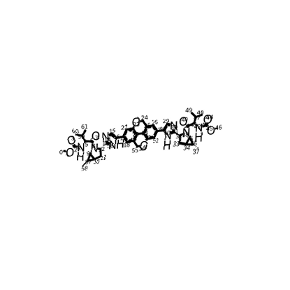 COC(=O)NC(C(=O)N1C2C(C[C@H]1c1ncc(-c3cc4c5c(c3)OCc3cc(-c6cnc([C@@H]7CC8C([C@@H]8C)N7C(=O)[C@@H](NC(=O)OC)C(C)C)[nH]6)cc(c3-5)OC4)[nH]1)[C@H]2C)C(C)C